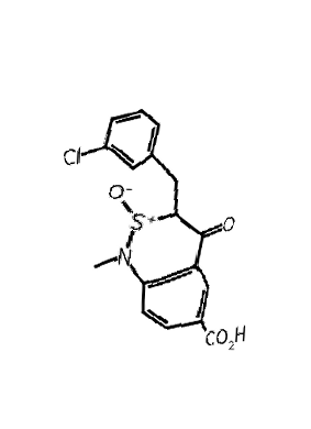 CN1c2ccc(C(=O)O)cc2C(=O)C(Cc2cccc(Cl)c2)[S+]1[O-]